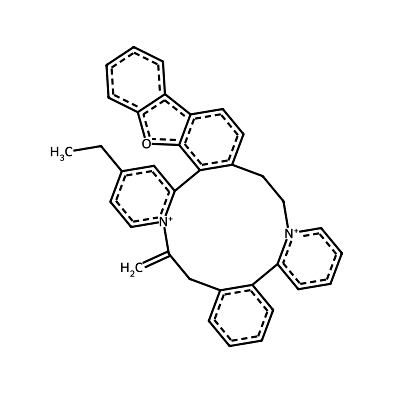 C=C1Cc2ccccc2-c2cccc[n+]2CCc2ccc3c(oc4ccccc43)c2-c2cc(CC)cc[n+]21